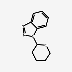 c1ccc2c(c1)nnn2C1CCCCO1